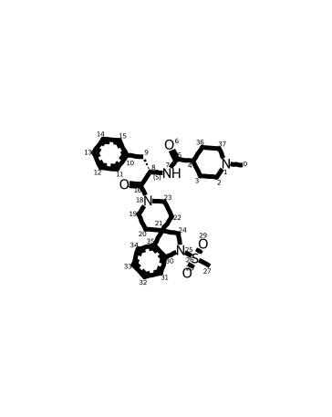 CN1CCC(C(=O)N[C@@H](Cc2ccccc2)C(=O)N2CCC3(CC2)CN(S(C)(=O)=O)c2ccccc23)CC1